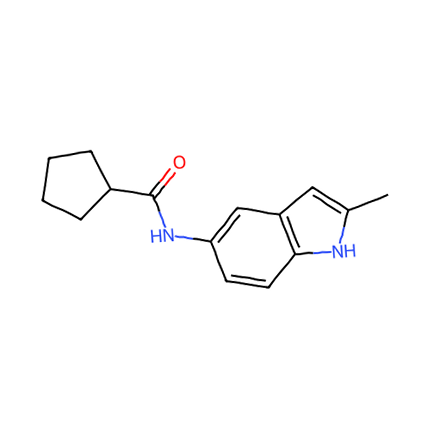 Cc1cc2cc(NC(=O)C3CCCC3)ccc2[nH]1